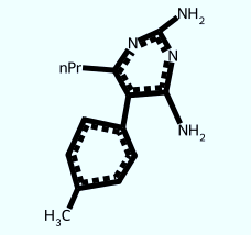 CCCc1nc(N)nc(N)c1-c1ccc(C)cc1